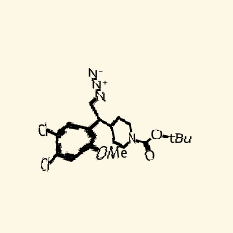 COc1cc(Cl)c(Cl)cc1C(CN=[N+]=[N-])C1CCN(C(=O)OC(C)(C)C)CC1